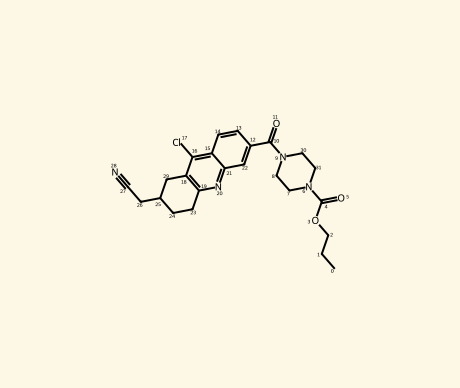 CCCOC(=O)N1CCN(C(=O)c2ccc3c(Cl)c4c(nc3c2)CCC(CC#N)C4)CC1